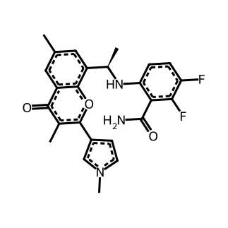 Cc1cc([C@@H](C)Nc2ccc(F)c(F)c2C(N)=O)c2oc(-c3ccn(C)c3)c(C)c(=O)c2c1